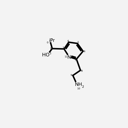 CC(C)C(O)c1cccc(CCN)n1